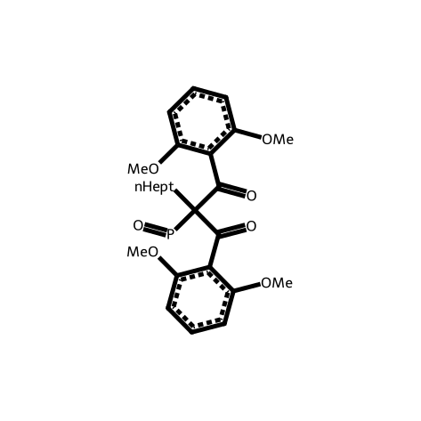 CCCCCCCC(P=O)(C(=O)c1c(OC)cccc1OC)C(=O)c1c(OC)cccc1OC